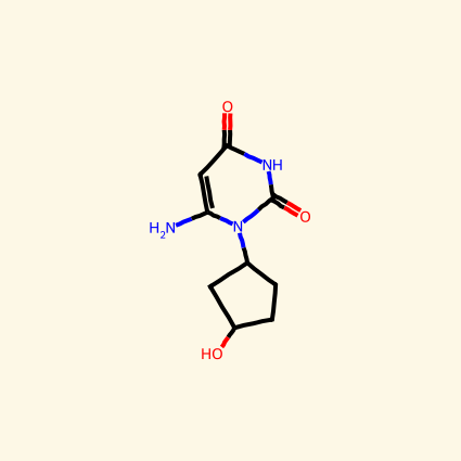 Nc1cc(=O)[nH]c(=O)n1C1CCC(O)C1